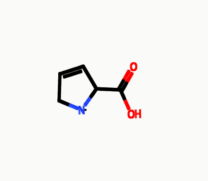 O=C(O)C1C=CC[N]1